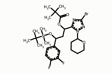 CC(C)(C)C(=O)OC(CC(O[Si](C)(C)C(C)(C)C)c1ccc(F)c(F)c1)c1nc(Br)nn1C1CCCCO1